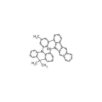 Cc1cc2c3c(c1)N1c4ccccc4C(C)(C)c4cccc(c41)[SH]3n1c3cc4ccccc4cc3c3cccc-2c31